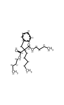 CCCCCC(Cc1ccccc1)(C(=O)OCCCC)C(=O)OCCCC